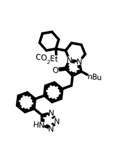 CCCCc1c(Cc2ccc(-c3ccccc3-c3nnn[nH]3)cc2)c(=O)n2n1CCCC2C1(C(=O)OCC)CCCCC1